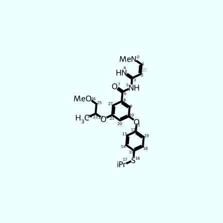 CN/C=C\C(=N)NC(=O)c1cc(Oc2ccc(SC(C)C)cc2)cc(OC(C)COC)c1